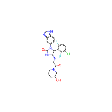 O=C(CN=C1NC(=O)N(c2ccc3[nH]cnc3c2)C1c1c(F)ccc(Cl)c1F)N1CCCC(O)C1